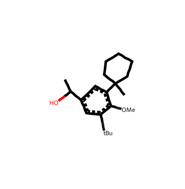 COc1c(C(C)(C)C)cc(C(C)O)cc1C1(C)CCCCC1